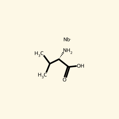 CC(C)[C@H](N)C(=O)O.[Nb]